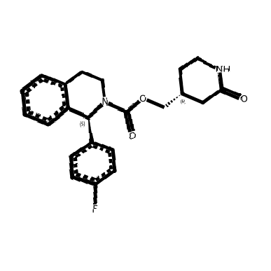 O=C1C[C@H](COC(=O)N2CCc3ccccc3[C@@H]2c2ccc(F)cc2)CCN1